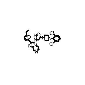 CCc1ccc(-c2nc3cnccn3c2NCC(=O)N2CCN(c3c(Cl)cccc3Cl)CC2)o1